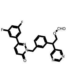 O=COCC(c1cncnc1)c1cccc(Cn2nc(-c3cc(F)cc(F)c3)ccc2=O)c1